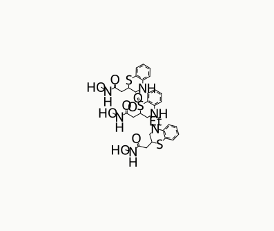 CCN1CC(CC(=O)NO)Sc2ccccc21.O=C(CC1CNc2ccccc2S1(=O)=O)NO.O=C(CC1CNc2ccccc2S1)NO